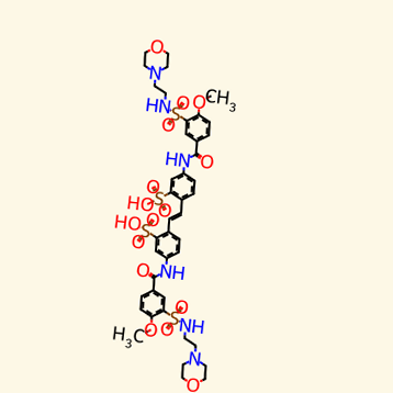 COc1ccc(C(=O)Nc2ccc(C=Cc3ccc(NC(=O)c4ccc(OC)c(S(=O)(=O)NCCN5CCOCC5)c4)cc3S(=O)(=O)O)c(S(=O)(=O)O)c2)cc1S(=O)(=O)NCCN1CCOCC1